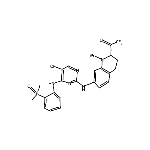 CC(C)N1c2cc(Nc3ncc(Cl)c(Nc4ccccc4P(C)(C)=O)n3)ccc2CCC1C(=O)C(F)(F)F